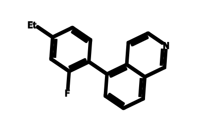 CCc1ccc(-c2cccc3cnccc23)c(F)c1